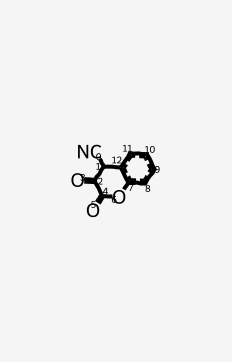 N#CC1C(=O)C(=O)Oc2ccccc21